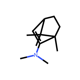 CN(C)C1=CC2CCC1(C)C2(C)C